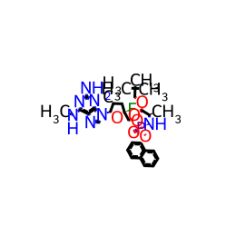 CNc1nc(N)nc2c1ncn2[C@@H]1O[C@](F)(CO[P@@](=O)(N[C@@H](C)C(=O)OCC(C)(C)C)Oc2cccc3ccccc23)C[C@@H]1C